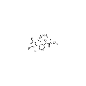 C[C@@H](NC(=O)c1cnc(C#N)c(-c2cc(F)cc(F)c2)c1N1CC[C@](C)(N)C1)C(F)(F)F